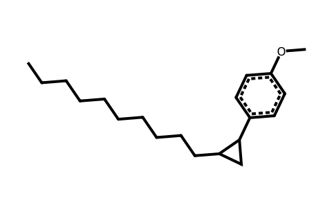 CCCCCCCCCCC1CC1c1ccc(OC)cc1